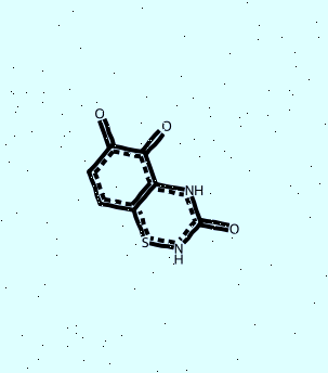 O=c1[nH]sc2ccc(=O)c(=O)c=2[nH]1